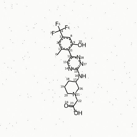 Cc1cc(C(F)(F)F)cc(O)c1-c1cnc(NC2CCCN(CC(=O)O)C2)nn1